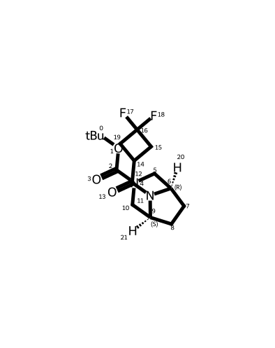 CC(C)(C)OC(=O)N1C[C@H]2CC[C@@H](C1)N2C(=O)C1CC(F)(F)C1